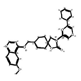 COc1ccc2ncnc(OCC3CCC4(CC3)CN(C3=COC=C(C5=CC=CCC5)O3)C(=O)O4)c2c1